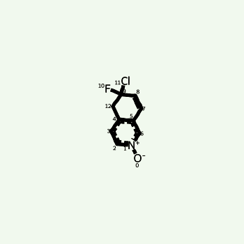 [O-][n+]1ccc2c(c1)C=CC(F)(Cl)C2